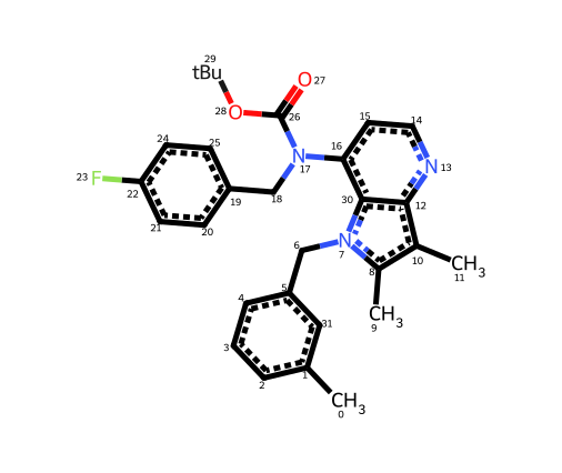 Cc1cccc(Cn2c(C)c(C)c3nccc(N(Cc4ccc(F)cc4)C(=O)OC(C)(C)C)c32)c1